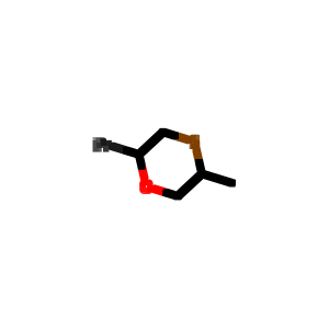 CC1COC(C(C)C)CS1